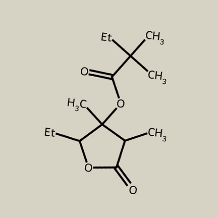 CCC1OC(=O)C(C)C1(C)OC(=O)C(C)(C)CC